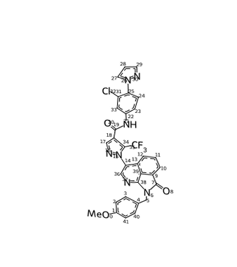 COc1ccc(CN2C(=O)c3cccc4c(-n5ncc(C(=O)Nc6ccc(-n7cccn7)c(Cl)c6)c5C(F)(F)F)cnc2c34)cc1